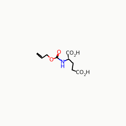 C=CCOC(=O)N[C@H](CCC(=O)O)C(=O)O